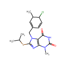 CC(C)Sc1nc2c(c(=O)[nH]c(=O)n2C)n1CC1=CC(C)C(Cl)C=C1